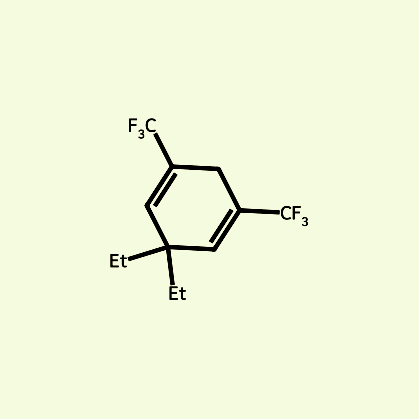 CCC1(CC)C=C(C(F)(F)F)CC(C(F)(F)F)=C1